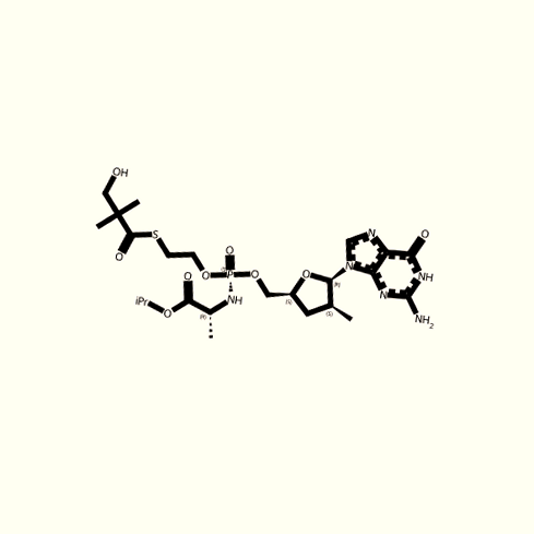 CC(C)OC(=O)[C@@H](C)N[P@@](=O)(OCCSC(=O)C(C)(C)CO)OC[C@@H]1C[C@H](C)[C@H](n2cnc3c(=O)[nH]c(N)nc32)O1